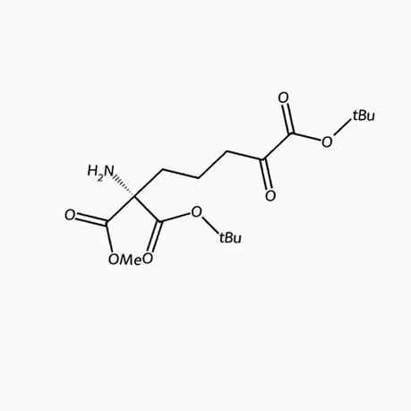 COC(=O)[C@@](N)(CCCC(=O)C(=O)OC(C)(C)C)C(=O)OC(C)(C)C